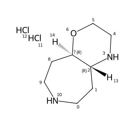 C1C[C@H]2NCCO[C@@H]2CCN1.Cl.Cl